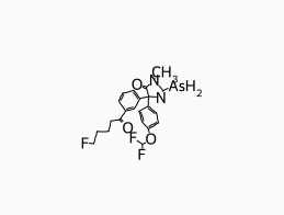 CN1C(=O)C(c2ccc(OC(F)F)cc2)(c2cccc(C(=O)CCCCF)c2)N=C1[AsH2]